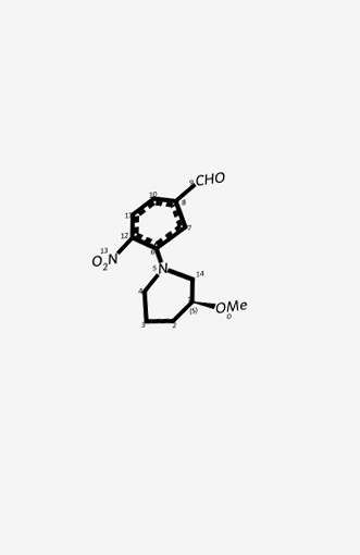 CO[C@H]1CCCN(c2cc(C=O)ccc2[N+](=O)[O-])C1